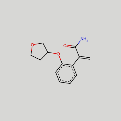 C=C(C(N)=O)c1ccccc1OC1CCOC1